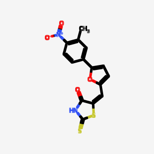 Cc1cc(-c2ccc(C=C3SC(=S)NC3=O)o2)ccc1[N+](=O)[O-]